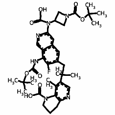 Cc1c(C(C)(C)Cc2cc3cc(N(C(=O)O)C4CN(C(=O)OC(C)(C)C)C4)ncc3c(NC(=O)OC(C)(C)C)c2F)cnc2c1N(C(=O)O)CCC2